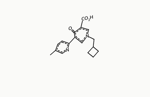 Cc1ccc(-c2cn(CC3CCC3)cc(C(=O)O)c2=O)nc1